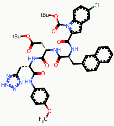 CC(C)(C)OC(=O)C[C@H](NC(=O)[C@H](Cc1ccc2ccccc2c1)NC(=O)c1cc2cc(Cl)ccc2n1C(=O)OC(C)(C)C)C(=O)N[C@@H](Cc1nn[nH]n1)C(=O)Nc1ccc(OC(F)(F)F)cc1